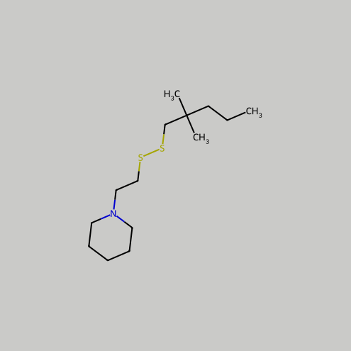 CCCC(C)(C)CSSCCN1CCCCC1